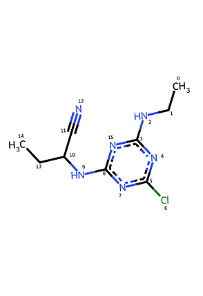 CCNc1nc(Cl)nc(NC(C#N)CC)n1